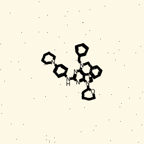 c1ccc(CN(Cc2ccccc2)c2nc(Nc3ccc(N4CCCCC4)cc3)nc3c2ncn3C2CCCCO2)cc1